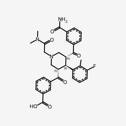 Cc1c(F)cccc1[C@@H]1[C@@H](C(=O)c2cccc(C(N)=O)c2)CN(CC(=O)N(C)C)C[C@H]1C(=O)c1cccc(C(=O)O)c1